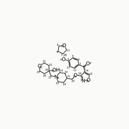 O=C(c1ccc(O[C@@H]2CCOC2)cc1)c1conc1OCC1CCN(CC2(O)CCOCC2)CC1